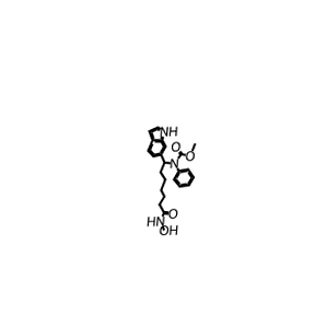 COC(=O)N(c1ccccc1)C(CCCCCC(=O)NO)c1ccc2cc[nH]c2c1